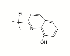 CCC(C)(C)c1ccc2cccc(O)c2n1